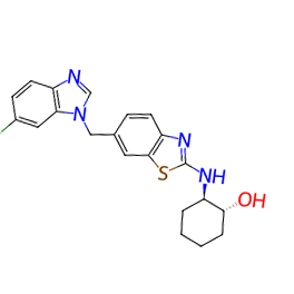 O[C@@H]1CCCC[C@H]1Nc1nc2ccc(Cn3cnc4ccc(Br)cc43)cc2s1